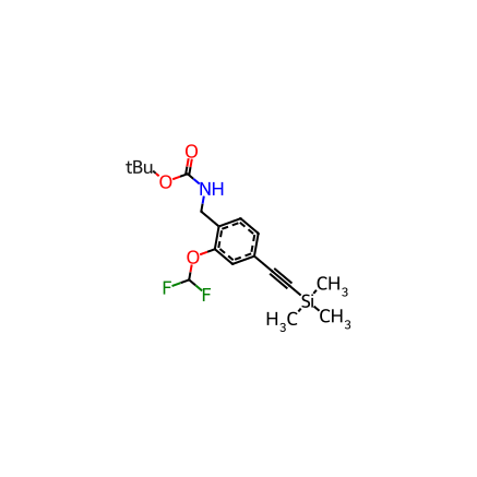 CC(C)(C)OC(=O)NCc1ccc(C#C[Si](C)(C)C)cc1OC(F)F